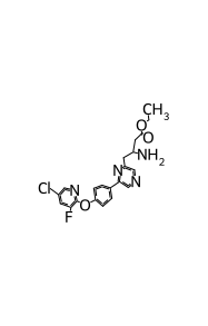 CCOC(=O)CC(N)Cc1cncc(-c2ccc(Oc3ncc(Cl)cc3F)cc2)n1